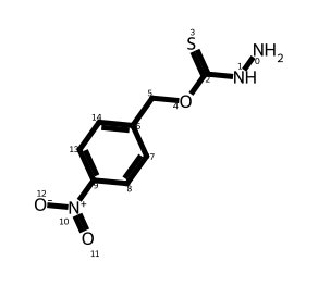 NNC(=S)OCc1ccc([N+](=O)[O-])cc1